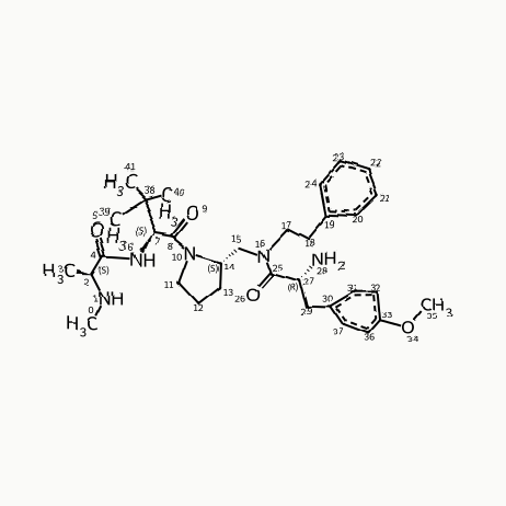 CN[C@@H](C)C(=O)N[C@H](C(=O)N1CCC[C@H]1CN(CCc1ccccc1)C(=O)[C@H](N)Cc1ccc(OC)cc1)C(C)(C)C